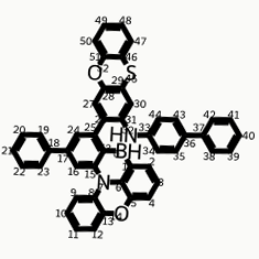 B1c2cccc3c2N(c2ccccc2O3)c2cc(-c3ccccc3)cc(-c3cc4c(cc3Nc3ccc(-c5ccccc5)cc3)Sc3ccccc3O4)c21